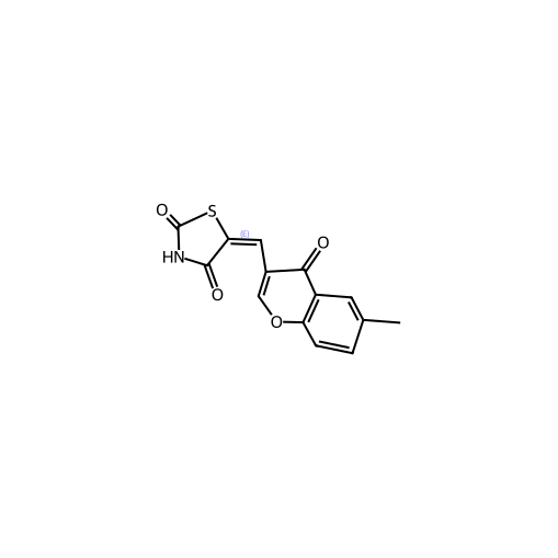 Cc1ccc2occ(/C=C3/SC(=O)NC3=O)c(=O)c2c1